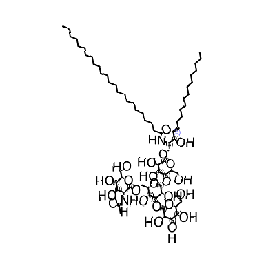 CCCCCCCCCCCCC/C=C/[C@@H](O)[C@H](CO[C@@H]1OC(CO)[C@@H](O[C@@H]2OC(CO[C@@H]3OC(CO)[C@@H](O)[C@H](O)C3NC(C)=O)[C@H](O)[C@H](O[C@H]3OC(CO)[C@H](O)[C@H](O)C3O)C2O)[C@H](O)C1O)NC(=O)CCCCCCCCCCCCCCCCCCCCCCC